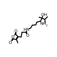 CC1=C(CCC(=O)NCCCCC(N)C(C)(O)C(C)C)C(=O)OC1=O